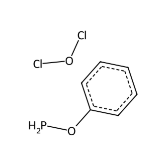 ClOCl.POc1ccccc1